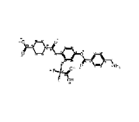 NCc1ccc(C(=O)Oc2ccc(CC(=O)N3CCC(C(=O)O)CC3)cc2)cc1.O=C(O)C(F)(F)F